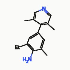 CCc1cc(-c2c(C)cncc2C)cc(C)c1N